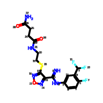 N=C(Nc1ccc(F)c(C(F)F)c1)c1nonc1SCCNC(=O)CCC(N)=O